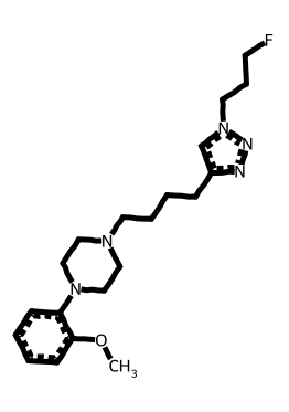 COc1ccccc1N1CCN(CCCCc2cn(CCCF)nn2)CC1